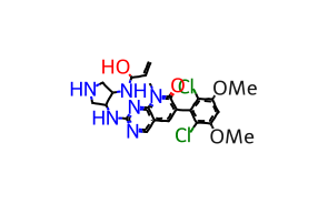 C=CC(O)NC1CNCC1Nc1ncc2cc(-c3c(Cl)c(OC)cc(OC)c3Cl)c(=O)n(C)c2n1